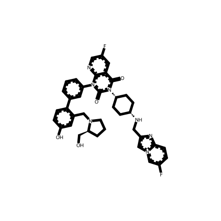 O=c1c2cc(F)cnc2n(-c2cccc(-c3ccc(O)cc3CN3CCC[C@H]3CO)c2)c(=O)n1[C@H]1CC[C@@H](NCc2cn3cc(F)ccc3n2)CC1